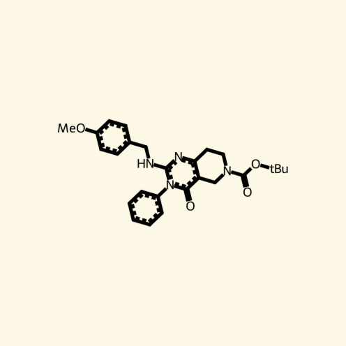 COc1ccc(CNc2nc3c(c(=O)n2-c2ccccc2)CN(C(=O)OC(C)(C)C)CC3)cc1